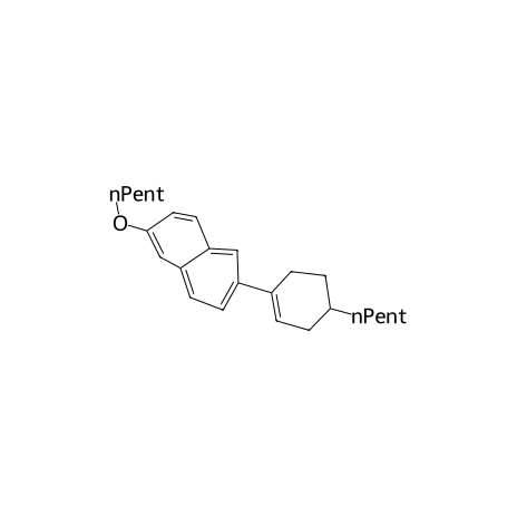 CCCCCOc1ccc2cc(C3=CCC(CCCCC)CC3)ccc2c1